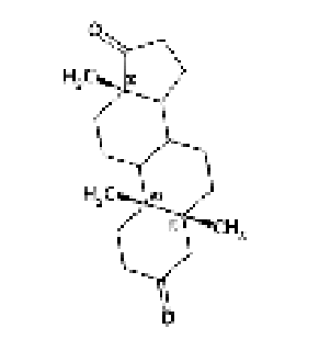 C[C@]12CCC3C4CCC(=O)[C@@]4(C)CCC3[C@@]1(C)CCC(=O)C2